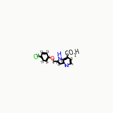 O=C(O)c1ccnc2cc(COc3ccc(Cl)cc3)[nH]c12